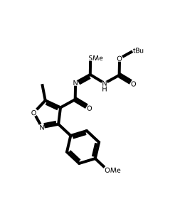 COc1ccc(-c2noc(C)c2C(=O)N=C(NC(=O)OC(C)(C)C)SC)cc1